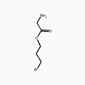 NCC(=O)OCCCBr